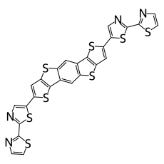 c1csc(-c2ncc(-c3cc4sc5cc6c(cc5c4s3)sc3cc(-c4cnc(-c5nccs5)s4)sc36)s2)n1